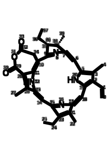 C=Cc1c(C)c2cc3nc(c4c5[nH]c(cc6nc(cc1[nH]2)C(C)=C6CC)c(C)c5C(=O)OC(=O)C4)[C@@H](CC)[C@@H]3C